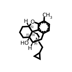 Cc1ccc2c3c1O[C@H]1CCC[C@@]4(O)[C@@H](C2)N(CC2CC2)CC[C@]314